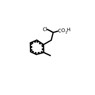 Cc1ccccc1CC(Cl)C(=O)O